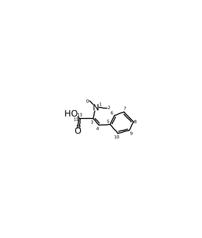 CN(C)C(=Cc1ccccc1)C(=O)O